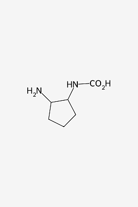 NC1CCCC1NC(=O)O